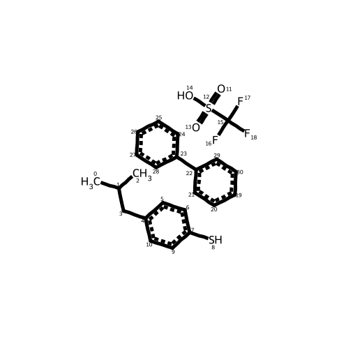 CC(C)Cc1ccc(S)cc1.O=S(=O)(O)C(F)(F)F.c1ccc(-c2ccccc2)cc1